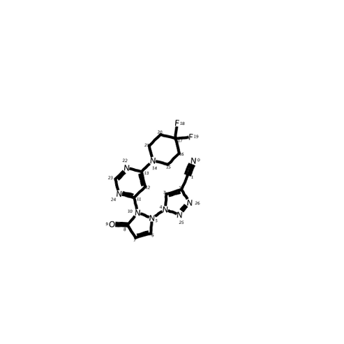 N#Cc1cn(-n2ccc(=O)n2-c2cc(N3CCC(F)(F)CC3)ncn2)nn1